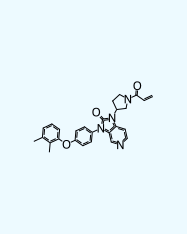 C=CC(=O)N1CCC(n2c(=O)n(-c3ccc(Oc4cccc(C)c4C)cc3)c3cnccc32)C1